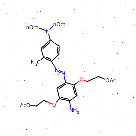 CCCCCCCCN(CCCCCCCC)c1ccc(/N=N/c2cc(OCCOC(C)=O)c(N)cc2OCCOC(C)=O)c(C)c1